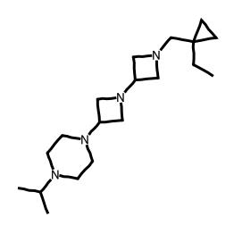 CCC1(CN2CC(N3CC(N4CCN(C(C)C)CC4)C3)C2)CC1